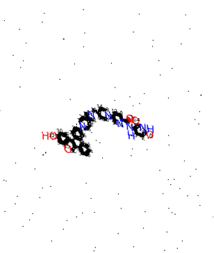 O=C1CC[C@@H](NC(=O)c2ccc(N3CCC(CN4CC5(CCN(c6ccc([C@H]7c8ccc(O)cc8OC[C@H]7c7ccccc7)cc6)CC5)C4)CC3)cn2)C(=O)N1